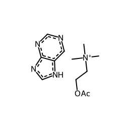 CC(=O)OCC[N+](C)(C)C.c1ncc2[nH]cnc2n1